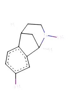 Pc1ccc2c(c1)[C@H]1C[C@@H]2CCN1P